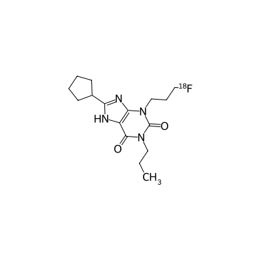 CCCn1c(=O)c2[nH]c(C3CCCC3)nc2n(CCC[18F])c1=O